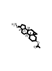 CC(=O)O[C@H]1CC[C@]2(C)[C@H]3CC[C@]4(C)/C(=N/N)CC[C@H]4[C@@H]3CC3CC32C1